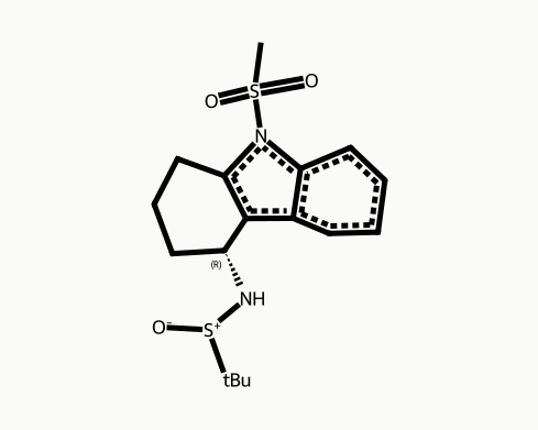 CC(C)(C)[S+]([O-])N[C@@H]1CCCc2c1c1ccccc1n2S(C)(=O)=O